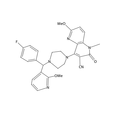 COc1ccc2c(n1)c(N1CCN(C(c3ccc(F)cc3)c3cccnc3OC)CC1)c(C#N)c(=O)n2C